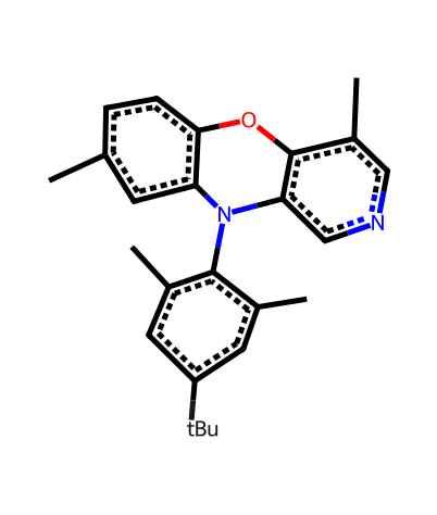 Cc1ccc2c(c1)N(c1c(C)cc(C(C)(C)C)cc1C)c1cncc(C)c1O2